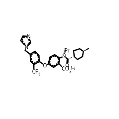 CC(C)N(c1ccc(Oc2ccc(Cn3ccnc3)cc2C(F)(F)F)cc1C(=O)O)C(=O)[C@H]1CC[C@H](C)CC1